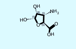 N[C@H]1[C@@H](O)[C@@H](O)O[C@@H]1C(=O)O